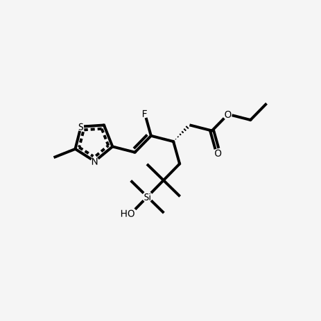 CCOC(=O)C[C@H](CC(C)(C)[Si](C)(C)O)/C(F)=C/c1csc(C)n1